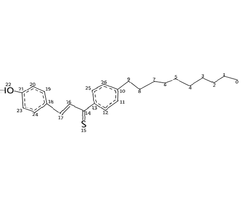 CCCCCCCCCCc1ccc(C(=S)C=Cc2ccc(O)cc2)cc1